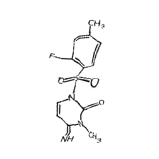 Cc1ccc(S(=O)(=O)n2ccc(=N)n(C)c2=O)c(F)c1